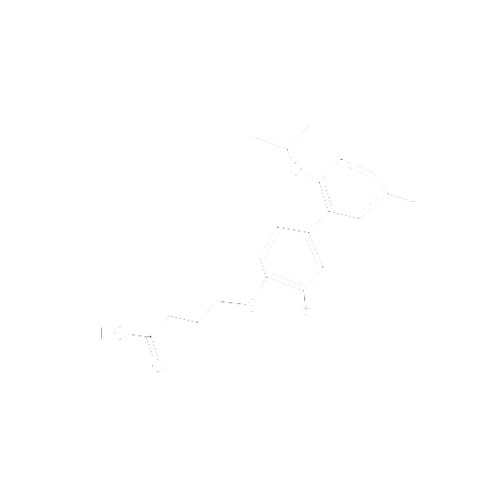 CC(C)Oc1ccc(F)cc1-c1ccc(SCCCC(=O)O)c(F)c1